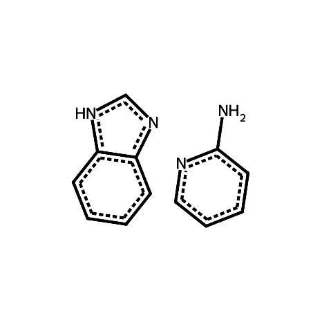 Nc1ccccn1.c1ccc2[nH]cnc2c1